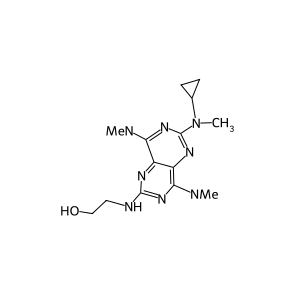 CNc1nc(N(C)C2CC2)nc2c(NC)nc(NCCO)nc12